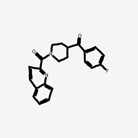 O=C(c1ccc(F)cc1)C1CCN(C(=O)c2ccc3ccccc3n2)CC1